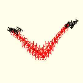 O=C(O)O.O=C(O)O.O=C(O)O.O=C(O)O.O=C(O)O.O=C(O)O.O=C(O)O.O=C(O)O.O=C(O)O.O=C(O)O.O=C([O-])[O-].O=C([O-])[O-].O=C([O-])[O-].O=C([O-])[O-].O=C([O-])[O-].O=C([O-])[O-].O=C([O-])[O-].O=C([O-])[O-].O=C([O-])[O-].O=C([O-])[O-].[Mg+2].[Mg+2].[Mg+2].[Mg+2].[Mg+2].[Mg+2].[Mg+2].[Mg+2].[Mg+2].[Mg+2]